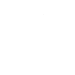 CCc1ccc(Oc2ccc(C)cc2F)cc1C1=C(O)[C@H]2CC[C@H](C2)C1=O